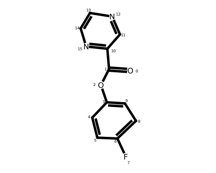 O=C(Oc1ccc(F)cc1)c1cnccn1